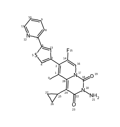 Cc1c(-c2csc(-c3ccccn3)c2)c(F)cn2c(=O)n(N)c(=O)c(C3CC3)c12